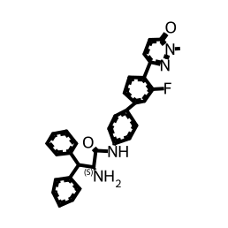 Cn1nc(-c2ccc(-c3ccc(NC(=O)[C@@H](N)C(c4ccccc4)c4ccccc4)cc3)cc2F)ccc1=O